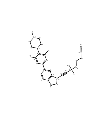 Cc1cc(-c2cnc3[nH]cc(C#CC(C)(C)OCCC#N)c3c2)cc(C)c1N1CCN(C)CC1